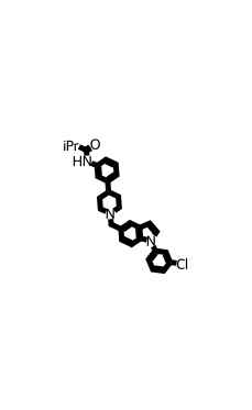 CC(C)C(=O)Nc1cccc(C2CCN(Cc3ccc4c(ccn4-c4cccc(Cl)c4)c3)CC2)c1